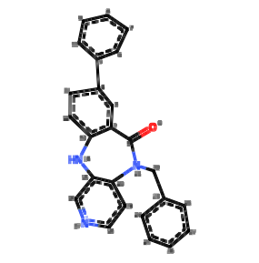 O=C1c2cc(-c3ccccc3)ccc2Nc2cnccc2N1Cc1ccccc1